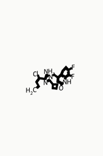 C=C/C=C(/Cl)c1nc(C2CCC2)n(Cc2cc(=O)[nH]c3c(F)c(F)ccc23)c1N